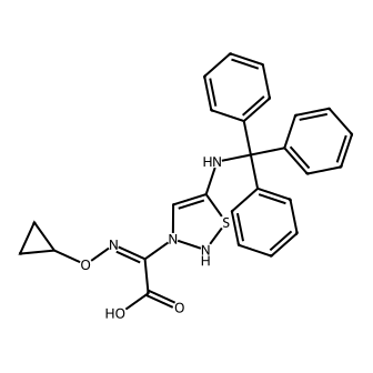 O=C(O)C(=NOC1CC1)N1C=C(NC(c2ccccc2)(c2ccccc2)c2ccccc2)SN1